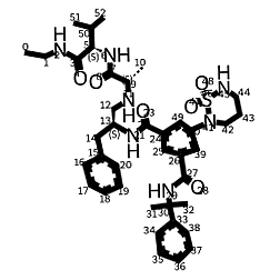 CCNC(=O)[C@@H](NC(=O)[C@H](C)NC[C@H](Cc1ccccc1)NC(=O)c1cc(C(=O)NC(C)(C)c2ccccc2)cc(N2CCCNS2(=O)=O)c1)C(C)C